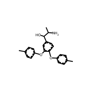 Cc1ccc(Oc2ccc(C(O)C(C)N)cc2Oc2ccc(C)cc2)cc1